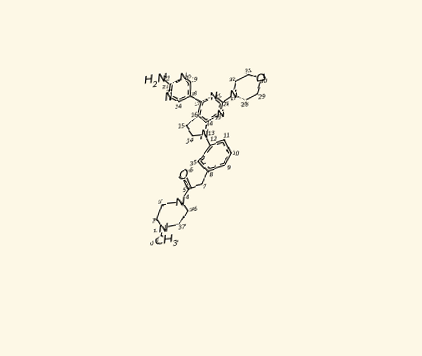 CN1CCN(C(=O)Cc2cccc(N3CCc4c(-c5cnc(N)nc5)nc(N5CCOCC5)nc43)c2)CC1